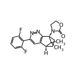 CC1(C)[C@@H]2CC[C@@]1(N1CCOC1=O)c1nnc(-c3c(F)cccc3F)cc12